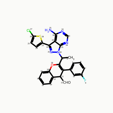 CC(C1=C(c2cccc(F)c2)C(C=O)c2ccccc2O1)n1nc(-c2ccc(Cl)s2)c2c(N)ncnc21